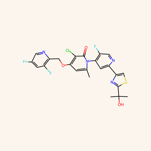 Cc1cc(OCc2ncc(F)cc2F)c(Cl)c(=O)n1-c1cc(-c2csc(C(C)(C)O)n2)ncc1F